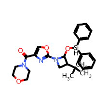 CC(C)(C)C1CN(c2nc(C(=O)N3CCOCC3)co2)C1O[SiH](c1ccccc1)c1ccccc1